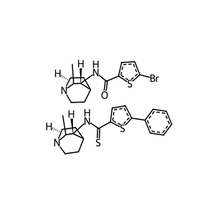 C[C@H]1[C@H](NC(=O)c2ccc(Br)s2)C2CCN1CC2.C[C@H]1[C@H](NC(=S)c2ccc(-c3ccccc3)s2)C2CCN1CC2